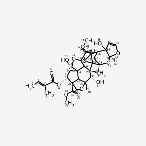 C/C=C(\C)C(=O)O[C@@H]1C[C@H](O)[C@]23COC(C(=O)OC)[C@H]2[C@](C)(C24OC2(C)C2C[C@H]4O[C@@H]4OC=CC24O)[C@H](O)[C@@H]2OC[C@@]1(C(=O)OC)C23